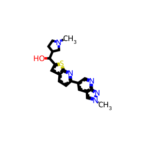 CN1CCC(C(O)c2cc3ccc(-c4cnc5nn(C)cc5c4)nc3s2)C1